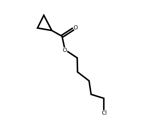 O=C(OCCCCCCl)C1CC1